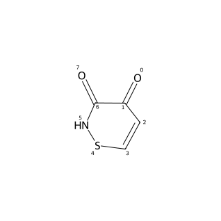 O=c1ccs[nH]c1=O